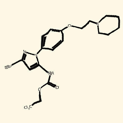 CC(C)(C)c1cc(NC(=O)OCC(Cl)(Cl)Cl)n(-c2ccc(OCCN3CCCCC3)cc2)n1